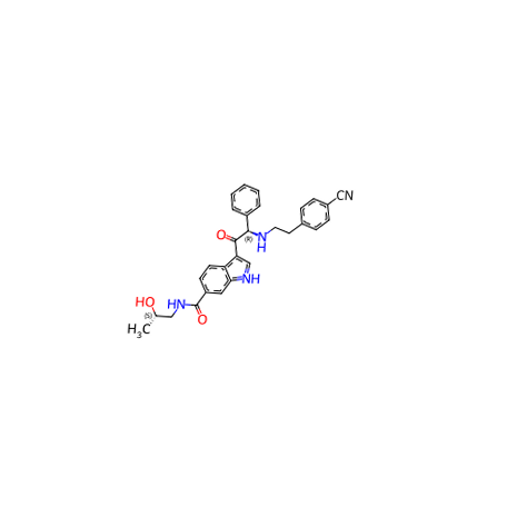 C[C@H](O)CNC(=O)c1ccc2c(C(=O)[C@H](NCCc3ccc(C#N)cc3)c3ccccc3)c[nH]c2c1